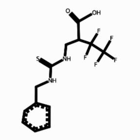 O=C(O)C(CNC(=S)NCc1ccccc1)C(F)(F)C(F)(F)F